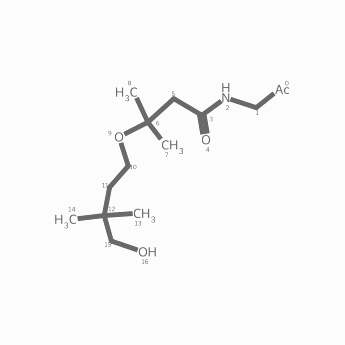 CC(=O)CNC(=O)CC(C)(C)OCCC(C)(C)CO